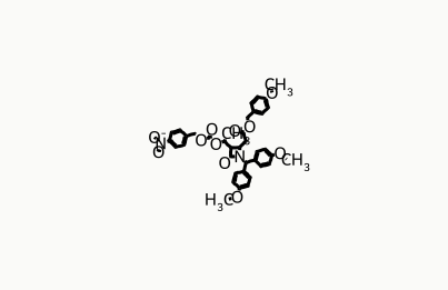 COc1ccc(COC(=O)CC2C(C(C)OC(=O)OCc3ccc([N+](=O)[O-])cc3)C(=O)N2C(c2ccc(OC)cc2)c2ccc(OC)cc2)cc1